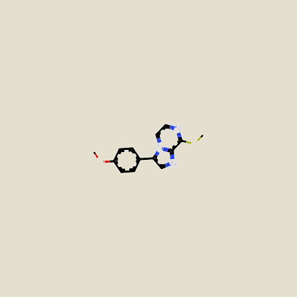 COc1ccc(-c2cnc3c(SC)nccn23)cc1